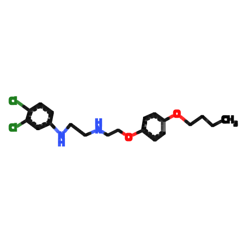 CCCCOc1ccc(OCCNCCNc2ccc(Cl)c(Cl)c2)cc1